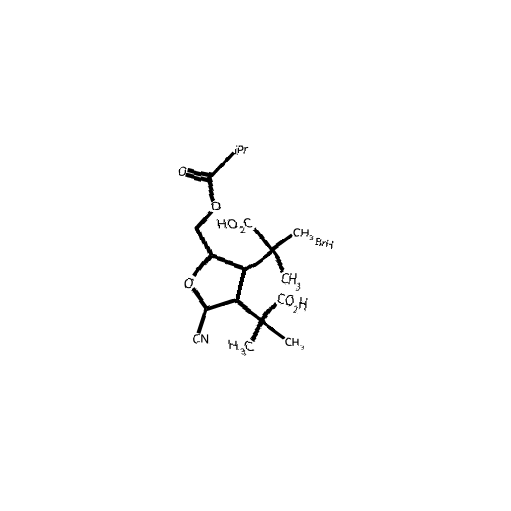 Br.CC(C)C(=O)OCC1OC(C#N)C(C(C)(C)C(=O)O)C1C(C)(C)C(=O)O